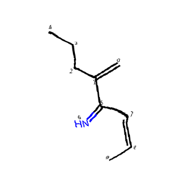 C=C(CCC)C(=N)/C=C\C